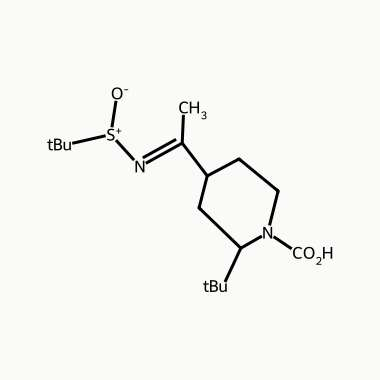 CC(=N[S+]([O-])C(C)(C)C)C1CCN(C(=O)O)C(C(C)(C)C)C1